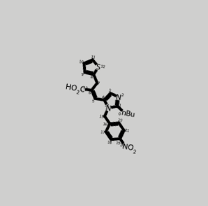 CCCCc1ncc(C=C(Cc2cccs2)C(=O)O)n1Cc1ccc([N+](=O)[O-])cc1